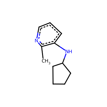 Cc1ncccc1NC1CCCC1